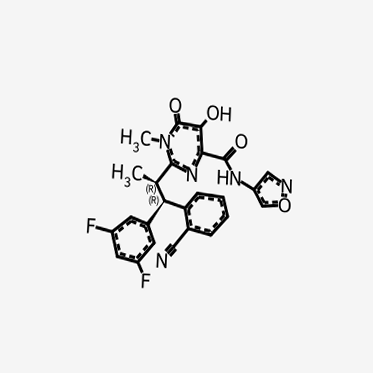 C[C@@H](c1nc(C(=O)Nc2cnoc2)c(O)c(=O)n1C)[C@H](c1cc(F)cc(F)c1)c1ccccc1C#N